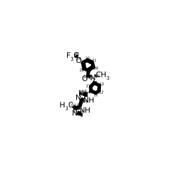 Cc1nc[nH]c1-c1nnc([C@H]2CCC[C@@H](N(C)C(=O)c3cccc(OC(F)(F)F)c3)C2)[nH]1